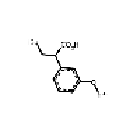 CCCOc1cccc(C(CC(C)CC)C(=O)O)c1